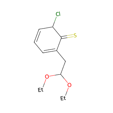 CCOC(CC1=CC=CC(Cl)C1=S)OCC